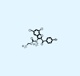 CCOC(=O)N(C)c1c(C(=O)c2ccc(Br)cc2)oc2c(Cl)cc(Cl)cc12